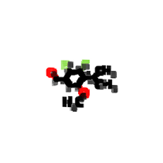 COc1cc(C=O)c(F)c(F)c1C(C)C